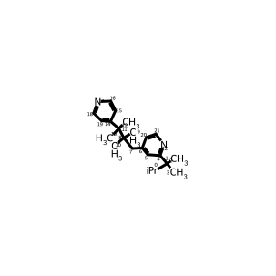 CC(C)C(C)(C)c1cc(CC(C)(C)C(C)(C)c2ccncc2)ccn1